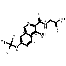 O=C(O)CNC(=O)c1ncc2cc(OC(F)(F)F)ccc2c1O